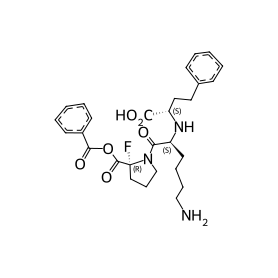 NCCCC[C@H](N[C@@H](CCc1ccccc1)C(=O)O)C(=O)N1CCC[C@@]1(F)C(=O)OC(=O)c1ccccc1